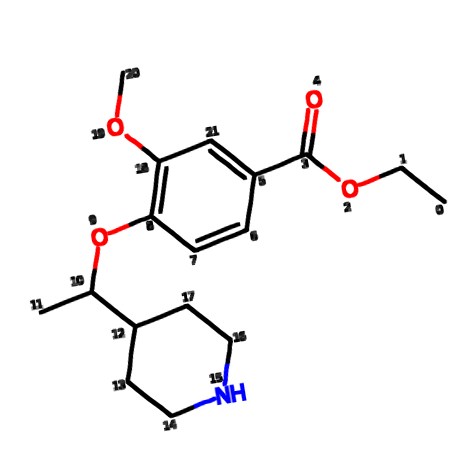 CCOC(=O)c1ccc(OC(C)C2CCNCC2)c(OC)c1